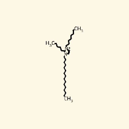 CCCCCCCCCCCCCCCCn1cc[n+](CCCCCCCC)c1CCCCC